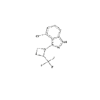 FC(F)(F)C1CCN1c1n[nH]c2cccc(Cl)c12